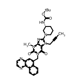 CC#CCn1c(N2CCC[C@@H](NC(=O)OC(C)(C)C)C2)nc2c1c(=O)n(Cc1cc3nccnc3c3ccccc13)c(=O)n2C